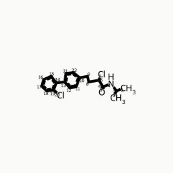 CC(C)NC(=O)C(Cl)CCc1ccc(-c2ccccc2Cl)cc1